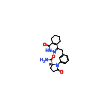 NC(=O)[C@H]1CCC(=O)N1c1cccc(Cc2n[nH]c(=O)c3c2CCCC3)c1